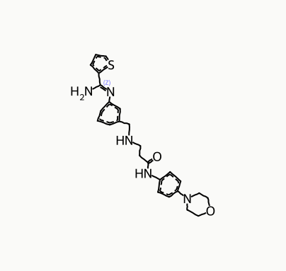 N/C(=N\c1cccc(CNCCC(=O)Nc2ccc(N3CCOCC3)cc2)c1)c1cccs1